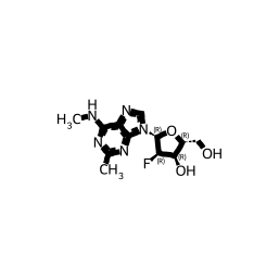 CNc1nc(C)nc2c1ncn2[C@@H]1O[C@H](CO)[C@@H](O)[C@H]1F